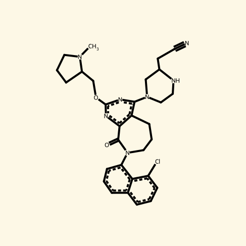 CN1CCCC1COc1nc2c(c(N3CCNC(CC#N)C3)n1)CCCN(c1cccc3cccc(Cl)c13)C2=O